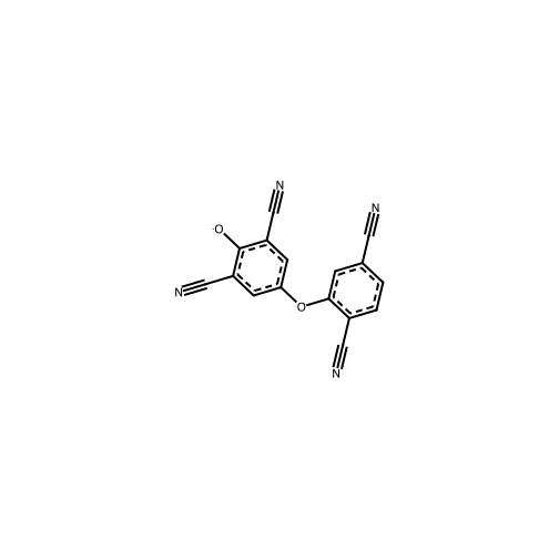 N#Cc1ccc(C#N)c(Oc2cc(C#N)c([O])c(C#N)c2)c1